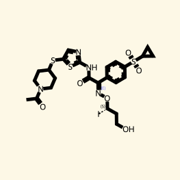 CC(=O)N1CCC(Sc2cnc(NC(=O)/C(=N/O[C@@H](I)CCO)c3ccc(S(=O)(=O)C4CC4)cc3)s2)CC1